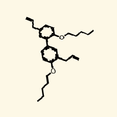 C=CCc1ccc(OCCCCC)c(-c2ccc(OCCCCC)c(CC=C)c2)c1